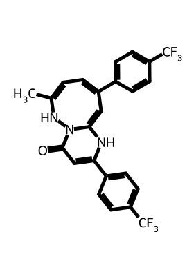 Cc1ccc(-c2ccc(C(F)(F)F)cc2)cc2[nH]c(-c3ccc(C(F)(F)F)cc3)cc(=O)n2[nH]1